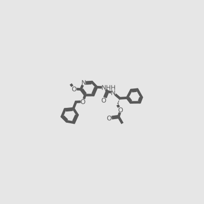 COc1ncc(NC(=O)N[C@@H](COC(C)=O)c2ccccc2)cc1OCc1ccccc1